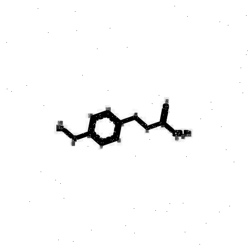 CCOC(=O)C(=O)CCc1ccc(SCC)cc1